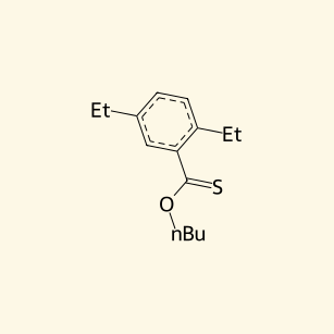 CCCCOC(=S)c1cc(CC)ccc1CC